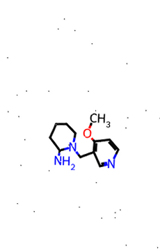 COc1ccncc1CN1CCCCC1N